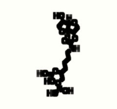 O=C(NCCCCC(CON(O)O)ON(O)O)O[C@@H]1CO[C@H]2[C@@H]1OC[C@H]2O